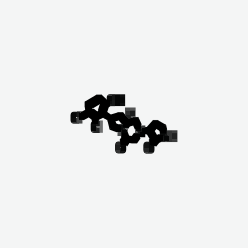 O=C1NCCC1N1CC(=O)N2C[C@@H](c3c(O)ccc(Cl)c3Cl)C[C@H]2C1